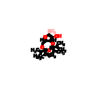 B[C@@H]1O[C@@H]2CO[Si](C(C)C)(C(C)C)O[Si](C(C)C)(C(C)C)O[C@H]2[C@H]1O